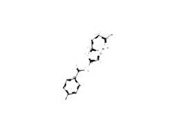 CC(C)(C)c1ccc(C(=O)Nc2cn3nc(I)ccc3n2)cc1